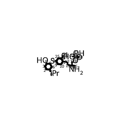 CC(C)c1ccc(O)c(Sc2ccc(CCC(C)(N)COP(=O)(O)O)c(Cl)c2)c1